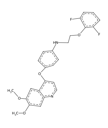 COc1cc2nccc(Oc3ccc(NCCOc4c(F)cccc4F)cc3)c2cc1OC